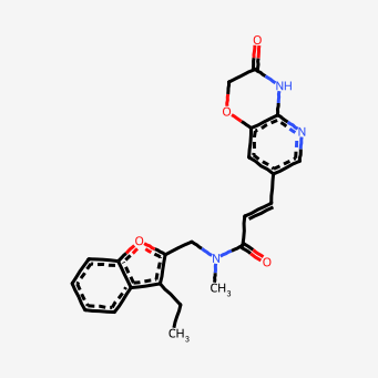 CCc1c(CN(C)C(=O)C=Cc2cnc3c(c2)OCC(=O)N3)oc2ccccc12